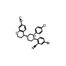 [C-]#[N+]c1ccc2c(c1)OCCC2N1CCN(c2ccc(Br)cc2C#N)[C@H](c2ccc(Cl)cc2)C1